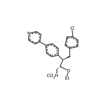 CCO[C@H](CC(=O)O)[C@H](Cc1ccc(Cl)cc1)c1ccc(-c2ccncc2)cc1